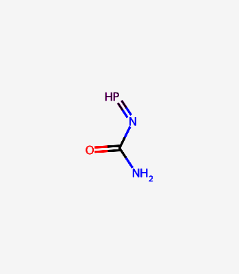 NC(=O)N=P